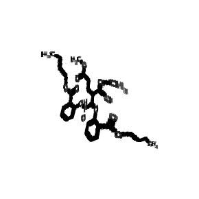 CCCCOC(=O)c1ccccc1OC(C(CCC(=O)OC)C(=O)OC)[PH](=O)Oc1ccccc1C(=O)OCCCC